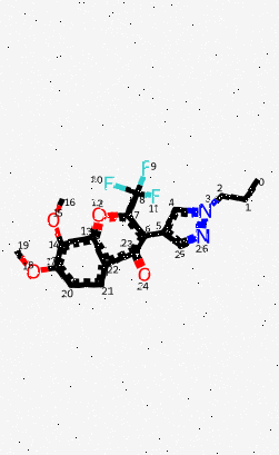 CCCn1cc(-c2c(C(F)(F)F)oc3c(OC)c(OC)ccc3c2=O)cn1